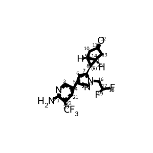 Nc1ncc(-c2cc([C@H]3[C@@H]4CC(=O)C[C@@H]43)n(CC(F)F)n2)cc1C(F)(F)F